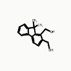 CC1(C)c2ccccc2-c2ccc(CO)c(CO)c21